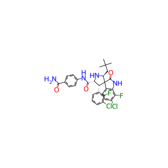 CC(C)(C)C[C@@H]1N[C@@H](C(=O)Nc2ccc(C(N)=O)cc2)[C@@H](c2cccc(Cl)c2F)C12C(=O)Nc1c2ccc(Cl)c1F